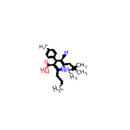 CCCC1=C(C(=O)O)C(c2ccc(C)cc2)C(C#N)=C(CC(C)(C)C)N1